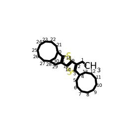 CCc1c(C2CCCCCCCCC2)sc2c3c(sc12)C1CCCCCCCC(C3)C1